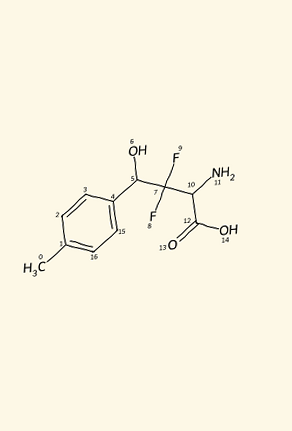 Cc1ccc(C(O)C(F)(F)C(N)C(=O)O)cc1